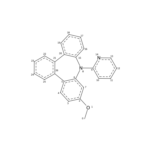 COc1ccc2c(c1)N(c1ccccn1)c1ccccc1-c1ccccc1-2